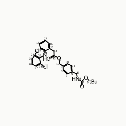 CC(C)(C)OC(=O)NCc1ccc(COC(=O)Cc2ccccc2Nc2c(Cl)cccc2Cl)cc1